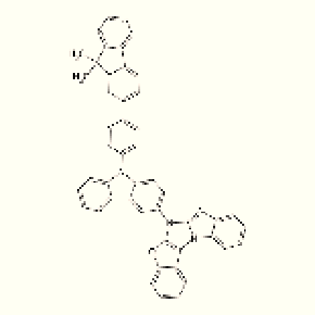 CC1(C)c2ccccc2-c2ccc(-c3ccc(-n4c5ccccc5c5cc(-n6c7oc8ccccc8c7n7c8ccccc8nc67)ccc54)cc3)cc21